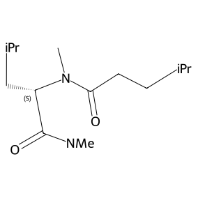 CNC(=O)[C@H](CC(C)C)N(C)C(=O)CCC(C)C